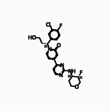 O=c1cc(-c2ccnc(N[C@@H]3CCOC[C@H]3F)n2)ccn1[C@H](CCO)c1ccc(F)c(Cl)c1